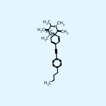 C=C(NC)C(C)N(C)C(=C)C1(C)C=CC(C#Cc2ccc(CCCC)cc2)=CC1